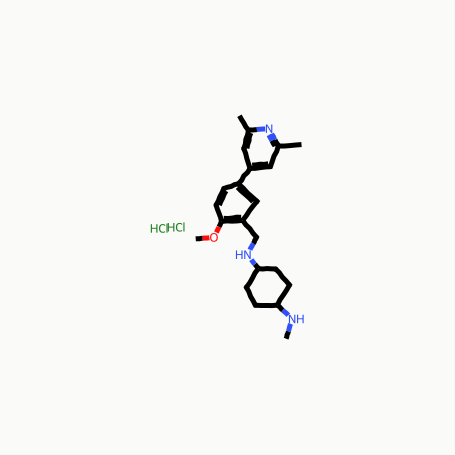 CNC1CCC(NCc2cc(-c3cc(C)nc(C)c3)ccc2OC)CC1.Cl.Cl